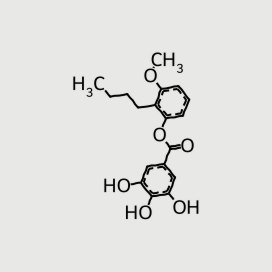 CCCCc1c(OC)cccc1OC(=O)c1cc(O)c(O)c(O)c1